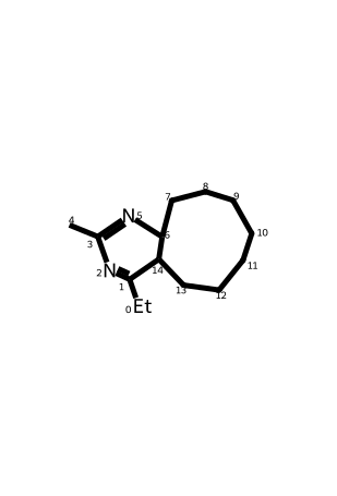 CCC1=NC(C)=NC2CCCCCCCC12